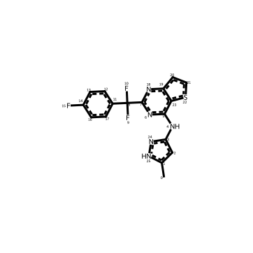 Cc1cc(Nc2nc(C(F)(F)c3ccc(F)cc3)nc3ccsc23)n[nH]1